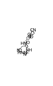 Cc1cnc2nc1Nc1ccc(NC(=O)CC3CCN(S(=O)(=O)c4cccc(C#N)c4)CC3)c(c1)CCc1cncc(c1)N2